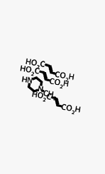 CN1CCNCC1.O=C(O)C=CC(=O)O.O=C(O)C=CC(=O)O.O=C(O)C=CC(=O)O